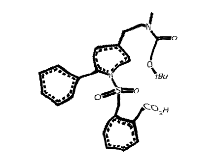 CN(Cc1cc(-c2ccccc2)n(S(=O)(=O)c2ccccc2C(=O)O)c1)C(=O)OC(C)(C)C